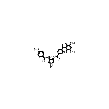 Cc1c(O)cc(O)c(O)c1C(=O)c1ccc(C(=O)OC2CNCC2NC(=O)c2ccc(O)cc2)cc1